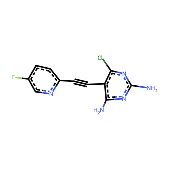 Nc1nc(N)c(C#Cc2ccc(F)cn2)c(Cl)n1